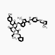 C=CCN1CC(=O)N2C(Cc3ccc(O)cc3)C(=O)N(Cc3cccc4c(C(=O)Nc5ccc(NCc6nccn6C)nc5)cn(C)c34)CC2N1C(=O)NCc1ccccc1